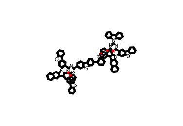 c1ccc2cc3c(cc2c1)c1cc2ccccc2cc1n3-c1cc2oc3ccccc3c2cc1-c1nc(-c2ccc3c(c2)sc2ccccc23)nc(-c2ccc3c(c2)sc2cc(-c4cccc5c4sc4ccc(-c6nc(-c7cc8c(cc7-n7c9cc%10ccccc%10cc9c9c%10ccccc%10ccc97)oc7ccccc78)nc(-n7c8ccccc8c8ccccc87)n6)cc45)ccc23)n1